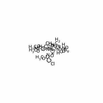 C=C[C@@H]1C[C@]1(NC(=O)[C@@H]1C[C@@H](Oc2ncc(OC)c3ccc(Cl)cc23)CN1C(=O)[C@H](Nc1ccc(S(=O)(=O)N(C)C)cc1)C(C)(C)C)C(=O)NS(=O)(=O)C1CC1